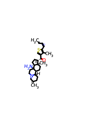 C=C/C=C\c1scc(C(=O)[C@H]2CCC3[C@]4(N)CCN5C[C@@H](C)CC[C@@H]5C4CC[C@@]32C)c1C